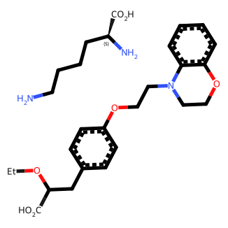 CCOC(Cc1ccc(OCCN2CCOc3ccccc32)cc1)C(=O)O.NCCCC[C@H](N)C(=O)O